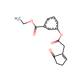 CCOC(=O)c1cccc(OC(=O)CC2=CCCC2=O)c1